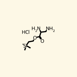 C[Si](C)(C)CCOC(=O)C(N)CN.Cl